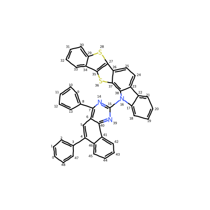 c1ccc(-c2cc3c(-c4ccccc4)nc(-n4c5ccccc5c5ccc6c7sc8ccccc8c7sc6c54)nc3c3ccccc23)cc1